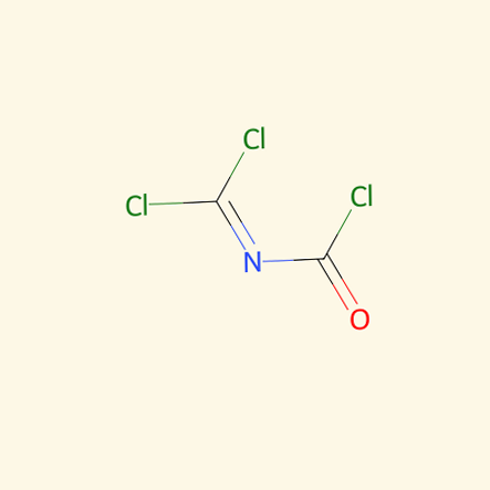 O=C(Cl)N=C(Cl)Cl